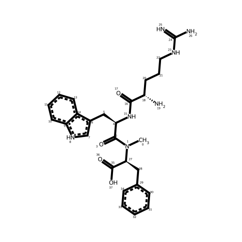 CN(C(=O)[C@@H](Cc1c[nH]c2ccccc12)NC(=O)[C@@H](N)CCCNC(=N)N)[C@@H](Cc1ccccc1)C(=O)O